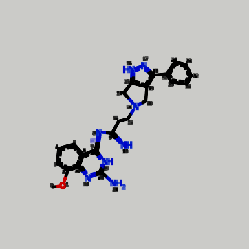 COc1cccc2/c(=N/C(=N)CCN3Cc4[nH]nc(-c5ccccc5)c4C3)[nH]c(N)nc12